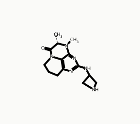 C[C@H]1C(=O)N2CCCc3nc(NC4CNC4)nc(c32)N1C